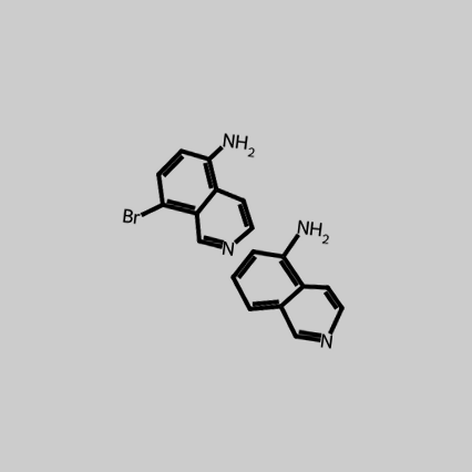 Nc1ccc(Br)c2cnccc12.Nc1cccc2cnccc12